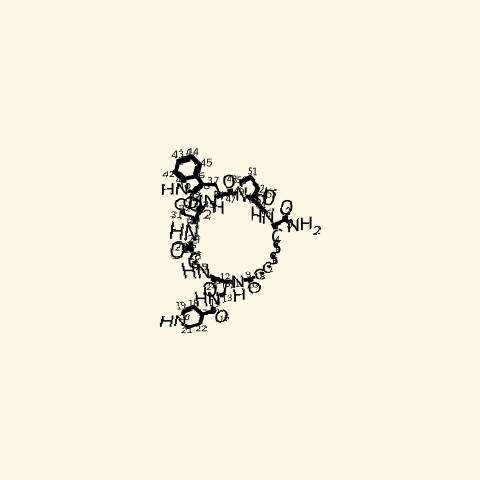 NC(=O)C1CSSCCC(=O)N[C@@H](CNC(=O)C2CCNCC2)C(=O)NCC(=O)N[C@@H](CC(=O)O)C(=O)N[C@@H](Cc2c[nH]c3ccccc23)C(=O)N2CCC[C@H]2C(=O)N1